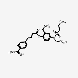 CCCC(=N)c1ccc(CCCC(=O)Oc2ccc(N(CC(=O)O)S(=O)(=O)CCOC)cc2CN)cc1